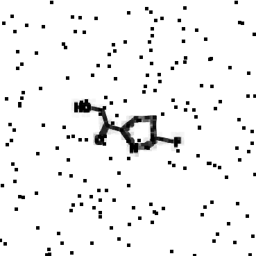 O=C(CO)c1ccc(F)cn1